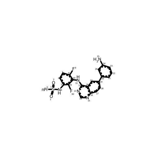 CCCS(=O)(=O)Nc1ccc(F)c(Nc2ncnc3ccc(-c4cccc(N)c4)cc23)c1F